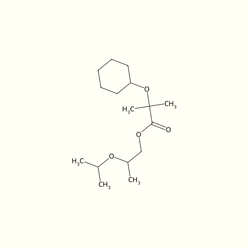 CC(C)OC(C)COC(=O)C(C)(C)OC1CCCCC1